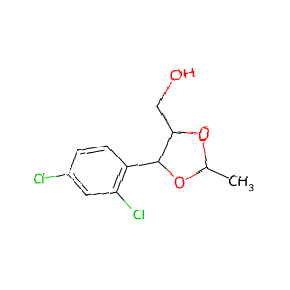 CC1OC(CO)C(c2ccc(Cl)cc2Cl)O1